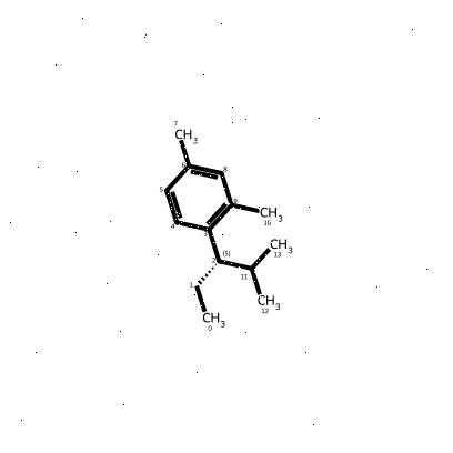 C[CH][C@H](c1ccc(C)cc1C)C(C)C